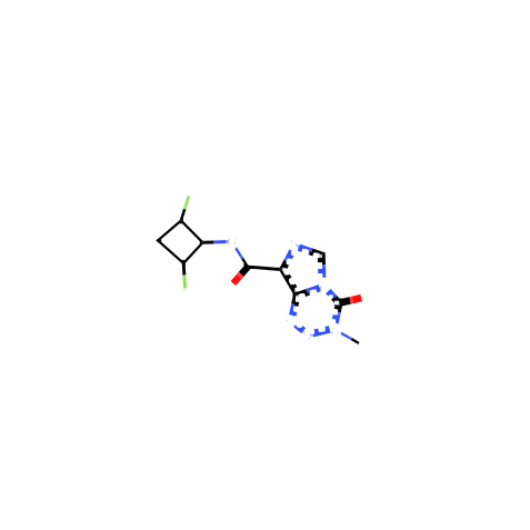 Cn1nnc2c(C(=O)NC3C(F)CC3F)ncn2c1=O